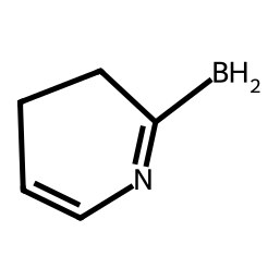 BC1=NC=CCC1